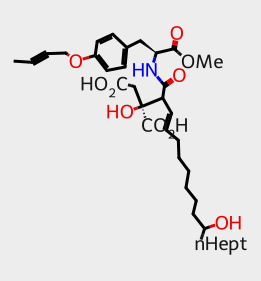 CC#CCOc1ccc(C[C@H](NC(=O)C(/C=C/CCCCCCC(O)CCCCCCC)[C@@](O)(CC(=O)O)C(=O)O)C(=O)OC)cc1